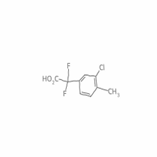 Cc1ccc(C(F)(F)C(=O)O)cc1Cl